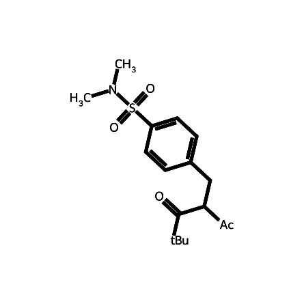 CC(=O)C(Cc1ccc(S(=O)(=O)N(C)C)cc1)C(=O)C(C)(C)C